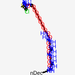 C=C(CCCCCCCCCCCCCCC)Nc1cn(C)c(C(=O)Nc2cc(C(=O)NCCC(=O)Nc3cn(C)c(C(=O)Nc4cc(C(=O)NCCC(=O)Nc5cn(C)c(C(=O)NCCC(=O)NCCOCCOCCOCCOCCOCCOCCOCCOCCOc6ccc(NC(=O)C[C@@H]7N=C(c8ccc(Cl)cc8)c8c(sc(C)c8C)-n8c(C)nnc87)cc6)n5)n(C)c4)n3)n(C)c2)n1